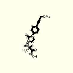 COCC#Cc1ccc(N2C[C@H](C[C@](C)(C(=O)NO)[SH](=O)=O)OC2=O)cc1